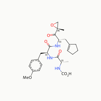 COc1ccc(C[C@H](NC(=O)[C@H](C)NC(=O)O)C(=O)N[C@@H](CC2=CCCC2)C(=O)[C@@]2(C)CO2)cc1